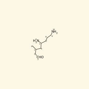 CC(CC=O)CC(N)CCCN